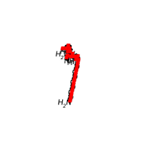 COc1cccc2cc(-c3nc([C@H]4CC[C@@](C)(CNCCOCCOCCOCCOCCOCCOCCOCCN)CC4)[nH]c3/C(N)=N\C=N)[nH]c12